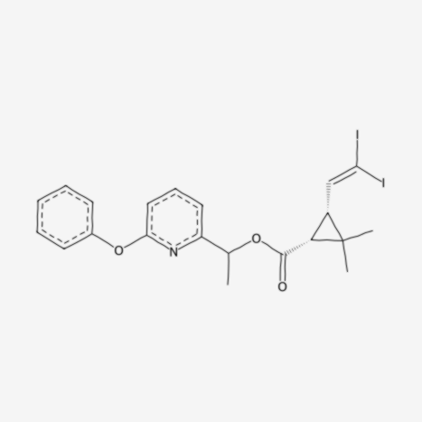 CC(OC(=O)[C@@H]1[C@H](C=C(I)I)C1(C)C)c1cccc(Oc2ccccc2)n1